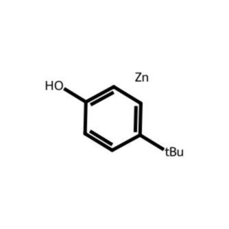 CC(C)(C)c1ccc(O)cc1.[Zn]